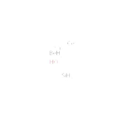 O[SiH3].[BeH2].[Ce].[Y]